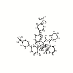 CC1=Cc2c(-c3ccc(C(C)(C)C)cc3)ccc(C)c2[CH]1[Zr]([Cl])([Cl])([CH]1C(C(c2ccccc2)c2ccccc2)=Cc2c(-c3ccc(C(C)(C)C)cc3)cccc21)[SiH](C)C